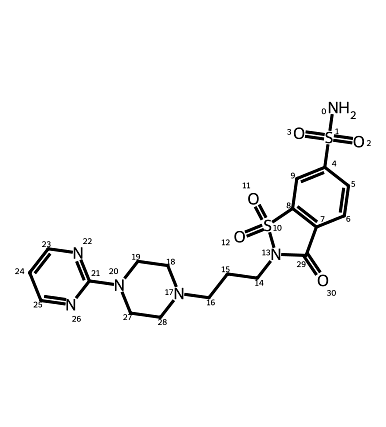 NS(=O)(=O)c1ccc2c(c1)S(=O)(=O)N(CCCN1CCN(c3ncccn3)CC1)C2=O